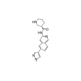 Cn1cc(-c2ccc3cnc(NC(=O)[C@@H]4CCCNC4)cc3c2)cn1